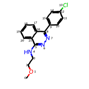 COCCNc1nnc(-c2ccc(Cl)cc2)c2ccccc12